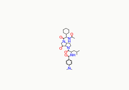 CC(=O)NC(C(=O)N1CC(=O)C2C1CCN2C(=O)C(CC(C)C)NC(=O)c1ccc(N(C)C)cc1)C1CCCCC1